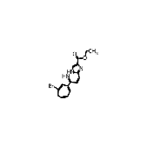 CCOC(=O)c1c[nH]c(/C=C\C(=N)C2=CC=CCC(Br)=C2)n1